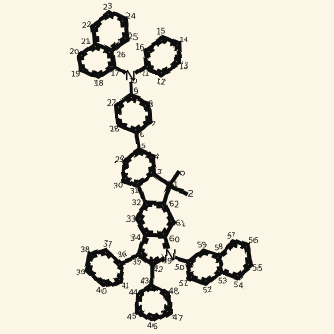 CC1(C)c2cc(-c3ccc(N(c4ccccc4)c4cccc5ccccc45)cc3)ccc2-c2cc3c(-c4ccccc4)c(-c4ccccc4)n(-c4ccc5ccccc5c4)c3cc21